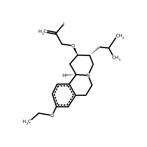 C=C(I)CO[C@@H]1C[C@@H]2c3ccc(OCC)cc3CCN2C[C@H]1CC(C)C